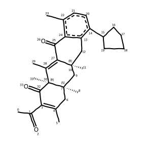 CC(=O)C1=C(C)C[C@]2(C)C[C@]3(C)Cc4c(C5CCCC5)ccc(C)c4C(=O)C3=C(C)[C@]2(C)C1=O